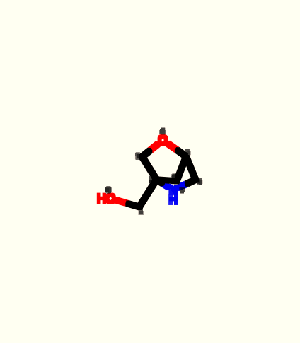 OCC12COC(CN1)C2